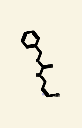 CCC/C=C\CNC(=O)OCc1ccccc1